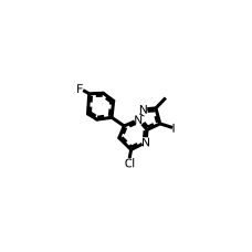 Cc1nn2c(-c3ccc(F)cc3)cc(Cl)nc2c1I